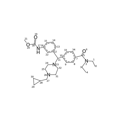 CCN(CC)C(=O)c1ccc(C(c2cccc(NC(=O)OC)c2)N2CCN(CC3CC3)CC2)cc1